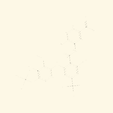 COc1c(Oc2cc(C(F)(F)F)cc(F)c2C(=O)Nc2cc(C(N)=O)ncc2C)ccc(OC(F)(F)F)c1F